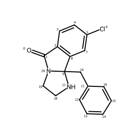 O=C1c2ccc(Cl)cc2C2(Cc3ccccc3)NCCN12